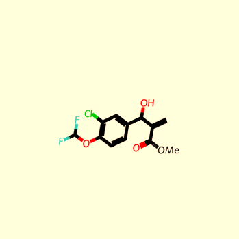 C=C(C(=O)OC)C(O)c1ccc(OC(F)F)c(Cl)c1